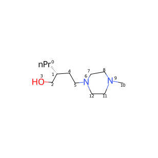 CCC[C@@H](CO)CCN1CCN(C)CC1